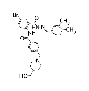 Cc1ccc(C=NNC(=O)c2cc(Br)ccc2NC(=O)c2ccc(CN3CCC(CO)CC3)cc2)cc1C